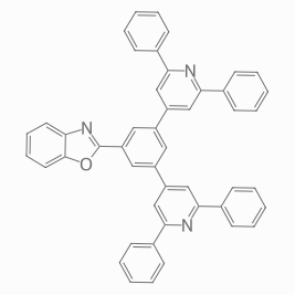 c1ccc(-c2cc(-c3cc(-c4cc(-c5ccccc5)nc(-c5ccccc5)c4)cc(-c4nc5ccccc5o4)c3)cc(-c3ccccc3)n2)cc1